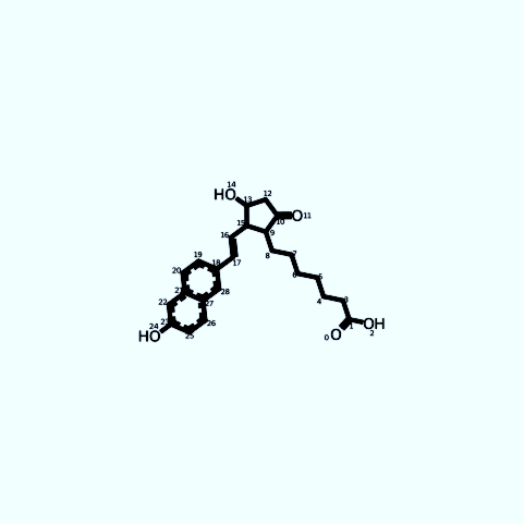 O=C(O)CCCCCCC1C(=O)CC(O)C1/C=C/c1ccc2cc(O)ccc2c1